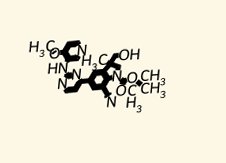 COc1ccncc1Nc1nccc(-c2cc(C#N)c3c(c2)C(C)(CO)CN3C(=O)OC(C)(C)C)n1